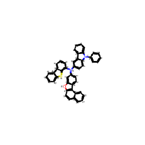 c1ccc(-n2c3ccccc3c3cc(N(c4ccc5c(c4)oc4ccc6ccccc6c45)c4cccc5c4sc4ccccc45)ccc32)cc1